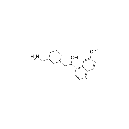 COc1ccc2nccc(C(O)CN3CCCC(CN)C3)c2c1